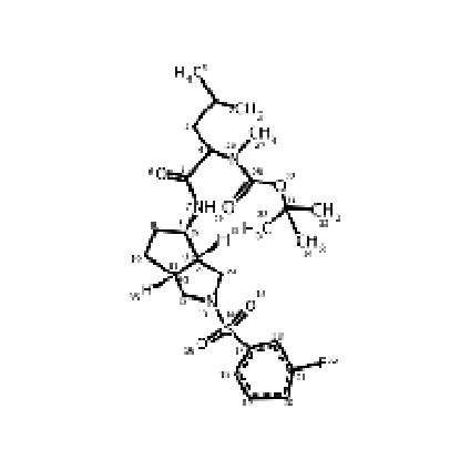 CC(C)CC(C(=O)N[C@@H]1CC[C@H]2CN(S(=O)(=O)c3cccc(F)c3)C[C@H]21)N(C)C(=O)OC(C)(C)C